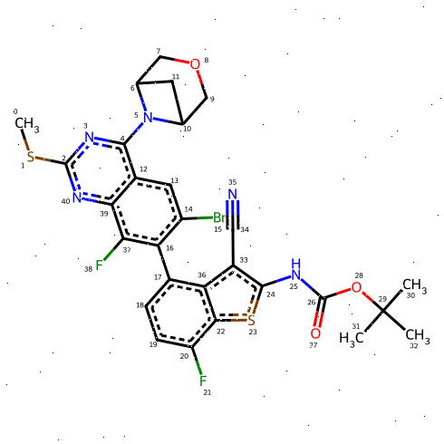 CSc1nc(N2C3COCC2C3)c2cc(Br)c(-c3ccc(F)c4sc(NC(=O)OC(C)(C)C)c(C#N)c34)c(F)c2n1